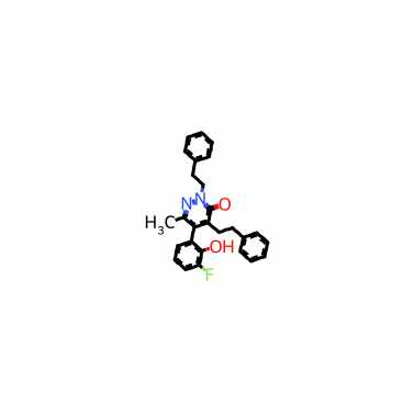 Cc1nn(CCc2ccccc2)c(=O)c(CCc2ccccc2)c1-c1cccc(F)c1O